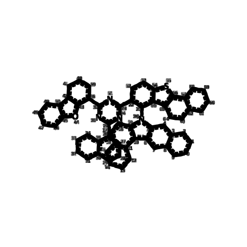 c1ccc2cc3c(cc2c1)c1c2ccccc2ccc1n3-c1c(-c2nc(-c3cccc4ccccc34)nc(-c3cccc4c3oc3ccccc34)n2)ccc2sc3c4ccccc4ccc3c12